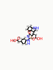 O=C(O)CC(=C1SC(Nc2ccc(CC(=O)O)cc2)=NC1=O)c1c[nH]c2ccccc12